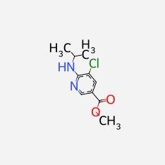 COC(=O)c1cnc(NC(C)C)c(Cl)c1